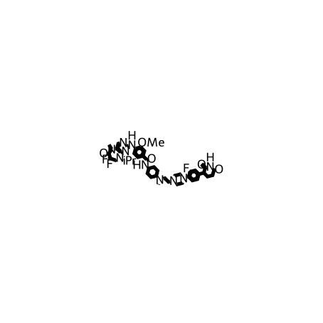 COc1cc(C(=O)N[C@H]2CC[C@H](N(C)CCN3CCN(c4ccc(C5CCC(=O)NC5=O)cc4F)CC3)CC2)ccc1Nc1ncc2c(n1)N(C(C)C)CC(F)(F)C(=O)N2C